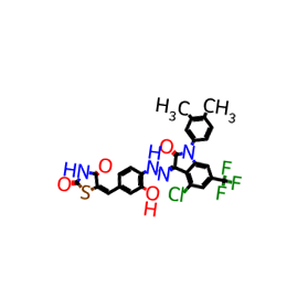 Cc1ccc(N2C(=O)C(=NNc3ccc(C=C4SC(=O)NC4=O)cc3O)c3c(Cl)cc(C(F)(F)F)cc32)cc1C